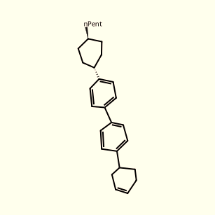 CCCCC[C@H]1CC[C@H](c2ccc(-c3ccc(C4CC=CCC4)cc3)cc2)CC1